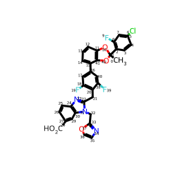 CC1(c2ccc(Cl)cc2F)Oc2cccc(-c3cc(F)c(Cc4nc5ccc(C(=O)O)cc5n4Cc4ncco4)c(F)c3)c2O1